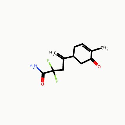 C=C(CC(F)(F)C(N)=O)C1CC=C(C)C(=O)C1